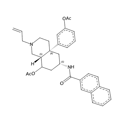 C=CCN1CC[C@@]2(c3cccc(OC(C)=O)c3)C[C@H](NC(=O)c3ccc4ccccc4c3)CC(OC(C)=O)[C@@H]2C1